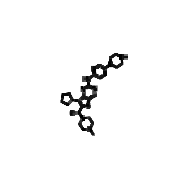 CN1CCN(C(=O)c2sc3cnc(Nc4ccc(N5CCNCC5)cn4)nc3c2C2CCCC2)CC1